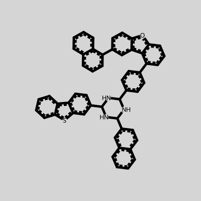 c1ccc2cc(C3NC(c4ccc(-c5cccc6oc7ccc(-c8cccc9ccccc89)cc7c56)cc4)NC(c4ccc5c(c4)sc4ccccc45)N3)ccc2c1